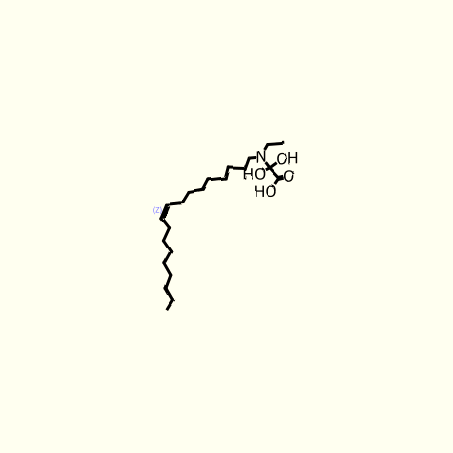 CCCCCCCC/C=C\CCCCCCCCN(CC)C(O)(O)C(=O)O